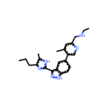 CCCc1nc(-c2n[nH]c3ccc(-c4cnc(CNCC)cc4C)cc23)[nH]c1C